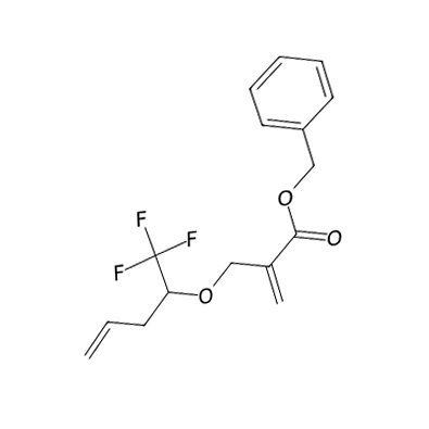 C=CCC(OCC(=C)C(=O)OCc1ccccc1)C(F)(F)F